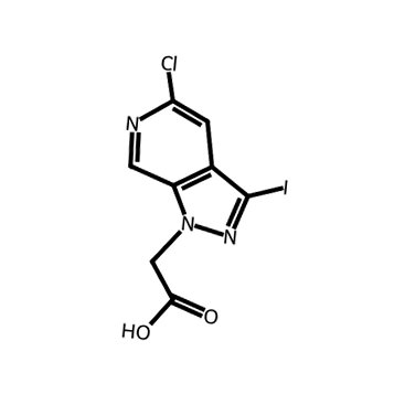 O=C(O)Cn1nc(I)c2cc(Cl)ncc21